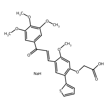 COc1cc(OCC(=O)O)c(-c2cccs2)cc1C=CC(=O)c1cc(OC)c(OC)c(OC)c1.[NaH]